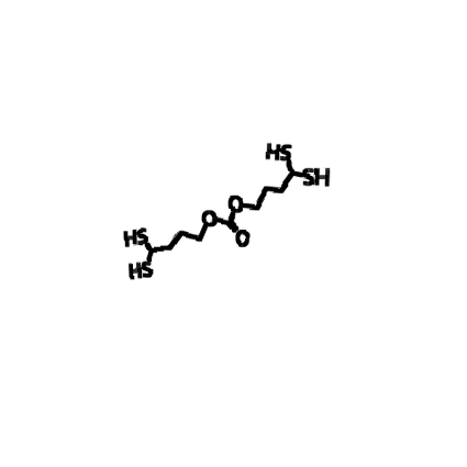 O=C(OCCCC(S)S)OCCCC(S)S